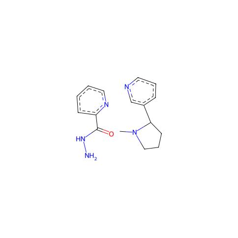 CN1CCCC1c1cccnc1.NNC(=O)c1ccccn1